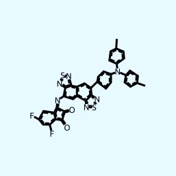 Cc1ccc(N(c2ccc(C)cc2)c2ccc(-c3cc4c(cc(/N=c5\c(=O)c(=O)c6c(F)cc(F)cc56)c5nsnc54)c4nsnc34)cc2)cc1